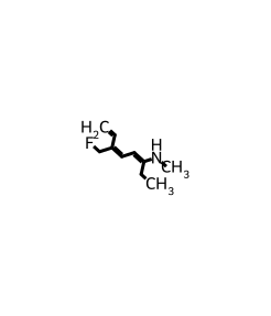 C=C/C(=C\C=C(/CC)NC)CF